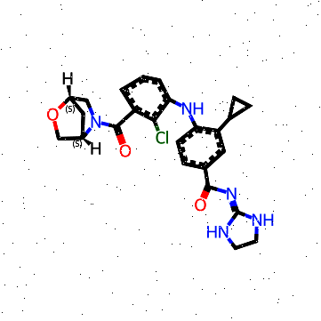 O=C(N=C1NCCN1)c1ccc(Nc2cccc(C(=O)N3C[C@@H]4C[C@H]3CO4)c2Cl)c(C2CC2)c1